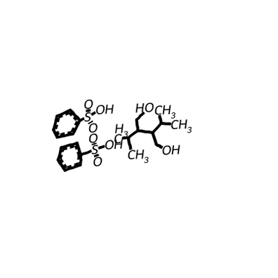 CC(C)C(CO)C(CO)C(C)C.O=S(=O)(O)c1ccccc1.O=S(=O)(O)c1ccccc1